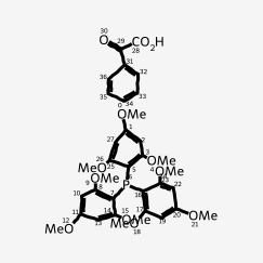 COc1cc(OC)c(P(c2c(OC)cc(OC)cc2OC)c2c(OC)cc(OC)cc2OC)c(OC)c1.O=C(O)C(=O)c1ccccc1